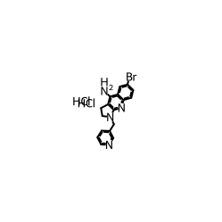 Cl.Cl.Nc1c2c(nc3ccc(Br)cc13)N(Cc1cccnc1)CC2